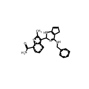 Cc1sc2c(C(N)=O)cccc2c1C1N=C(NCc2ccccc2)C2=C(C=CC2)N1